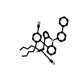 CCCCC1(CCCC)c2ccc(C#N)cc2C2(c3ccccc3N(c3cccc(-c4ccccc4)c3)c3ccccc32)c2cc(C#N)ccc21